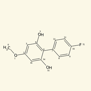 COc1cc(O)c(-c2ccc(F)cc2)c(O)c1